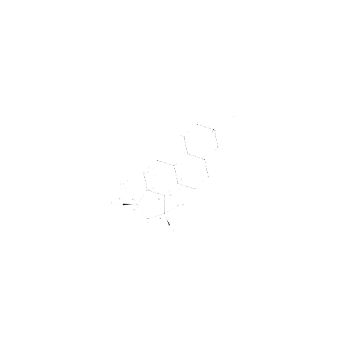 C[C@]12C=CC3=C4CCC(=O)C=C4CC[C@H]3[C@]13C[C@@H]3C[C@H]2O